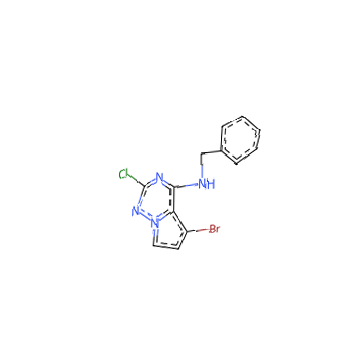 Clc1nc(NCc2ccccc2)c2c(Br)ccn2n1